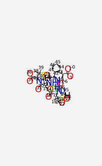 COC(=O)C=C(C)NC(C(=O)N[C@]1(COC(=O)[C@H]2C(C)(C)S(=O)(=O)[C@@H]3CC(=O)[N+]32Cl)C(=O)N2[C@@H](C(=O)[O-])C(C)(C)S[C@@H]21)c1ccccc1